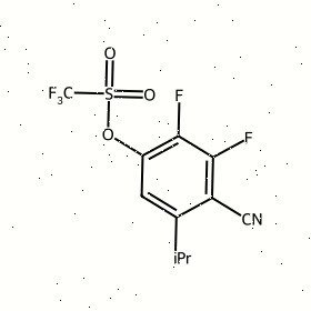 CC(C)c1cc(OS(=O)(=O)C(F)(F)F)c(F)c(F)c1C#N